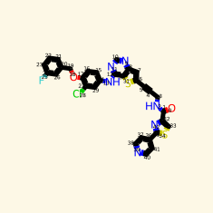 O=C(NCC#Cc1cc2ncnc(Nc3ccc(OCc4cccc(F)c4)c(Cl)c3)c2s1)c1csc(-c2ccncc2)n1